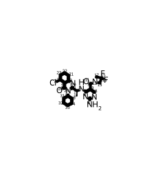 C[C@H](Nc1nc(N)ncc1C(=O)N1CC(F)(F)C1)c1nc2cccc(Cl)c2c(=O)n1-c1ccccc1